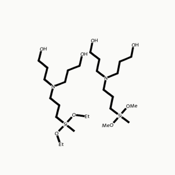 CCO[Si](C)(CCCN(CCCO)CCCO)OCC.CO[Si](C)(CCCN(CCCO)CCCO)OC